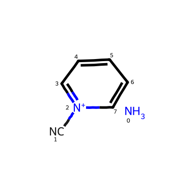 N.N#C[n+]1ccccc1